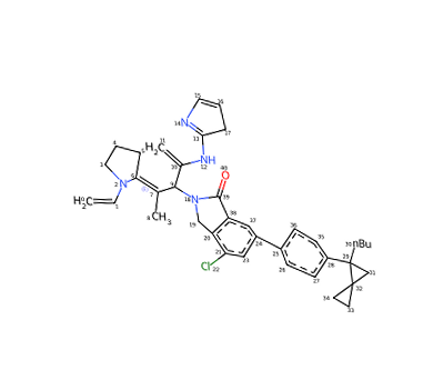 C=CN1CCC/C1=C(/C)C(C(=C)NC1=NC=CC1)N1Cc2c(Cl)cc(-c3ccc(C4(CCCC)CC45CC5)cc3)cc2C1=O